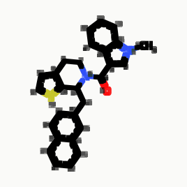 Cn1cc(C(=O)N2CCc3ccsc3C2Cc2ccc3ccccc3c2)c2ccccc21